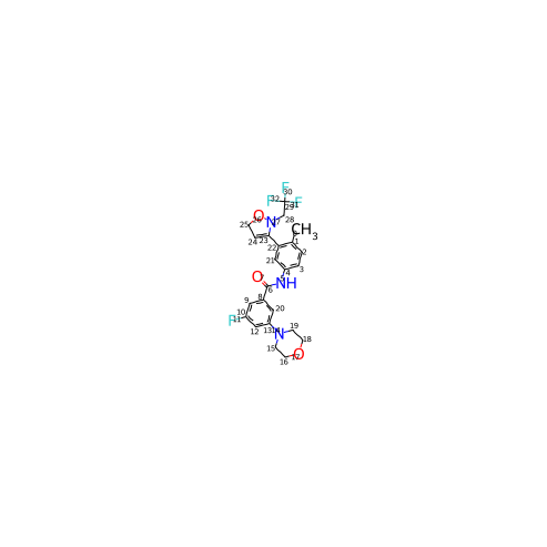 Cc1ccc(NC(=O)c2cc(F)cc(N3CCOCC3)c2)cc1C1=CCON1CC(F)(F)F